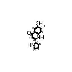 Cc1ccc2[nH]c([C@@H]3CCCN3)cc(=O)c2c1